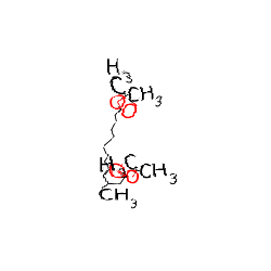 CCC(CCCCCCCCCC(=O)OC(C)C)CC(=O)OC(C)C